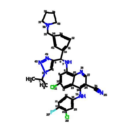 CC(C)n1cc([C@@H](Nc2cc(Cl)cc3c(Nc4ccc(F)c(Cl)c4)c(C#N)cnc23)c2cccc(CN3CCCC3)c2)nn1